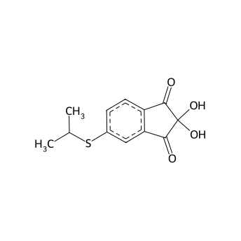 CC(C)Sc1ccc2c(c1)C(=O)C(O)(O)C2=O